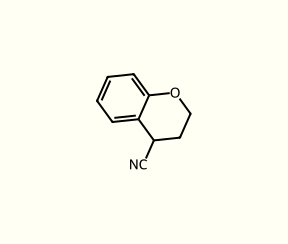 N#CC1CCOc2ccccc21